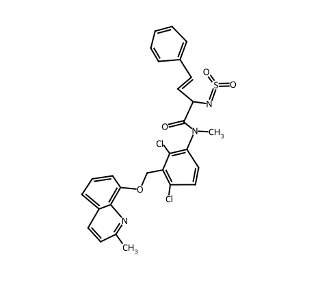 Cc1ccc2cccc(OCc3c(Cl)ccc(N(C)C(=O)C(C=Cc4ccccc4)N=S(=O)=O)c3Cl)c2n1